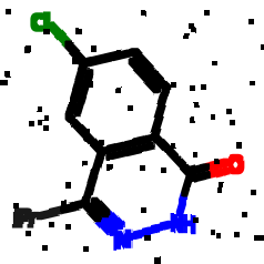 CC(C)c1n[nH]c(=O)c2ccc(Cl)cc12